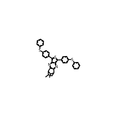 CC1CC2c3nc4c(-c5ccc(Sc6ccccc6)cc5)sc(-c5ccc(Sc6ccccc6)cc5)c4nc3C1C2C